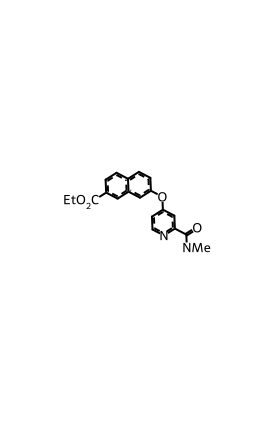 CCOC(=O)c1ccc2ccc(Oc3ccnc(C(=O)NC)c3)cc2c1